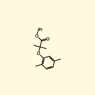 Cc1ccc(C)c(OC(C)(C)C(=O)OC(C)C)c1